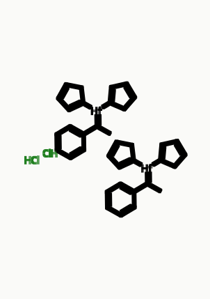 C[C](c1ccccc1)=[Hf]([C]1=CC=CC1)[C]1=CC=CC1.C[C](c1ccccc1)=[Hf]([C]1=CC=CC1)[C]1=CC=CC1.Cl.Cl